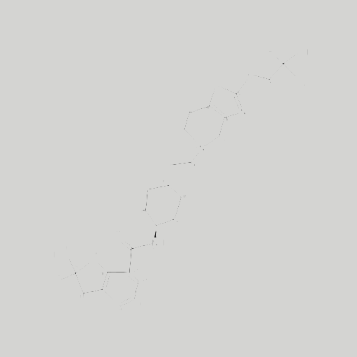 CC(F)(F)COc1nc2c(s1)CCN(CC[C@H]1CC[C@H](NC(=O)c3cccc4c3OC(C)(C)C4)CC1)C2